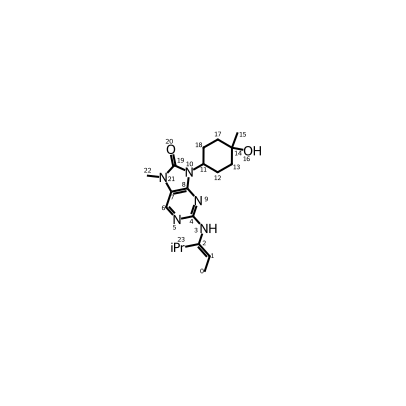 C/C=C(/Nc1ncc2c(n1)n(C1CCC(C)(O)CC1)c(=O)n2C)C(C)C